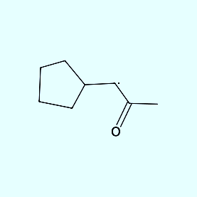 CC(=O)[CH]C1CCCC1